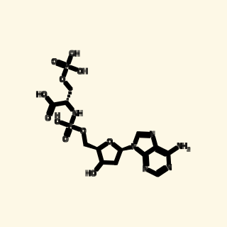 Nc1ncnc2c1ncn2[C@H]1CC(O)[C@@H](COP(=O)(O)N[C@@H](COP(=O)(O)O)C(=O)O)O1